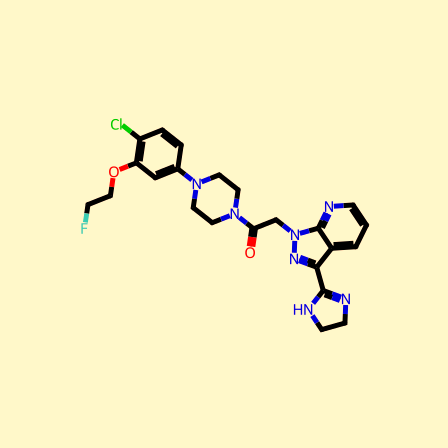 O=C(Cn1nc(C2=NCCN2)c2cccnc21)N1CCN(c2ccc(Cl)c(OCCF)c2)CC1